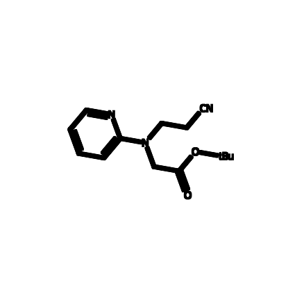 CC(C)(C)OC(=O)CN(CCC#N)c1ccccn1